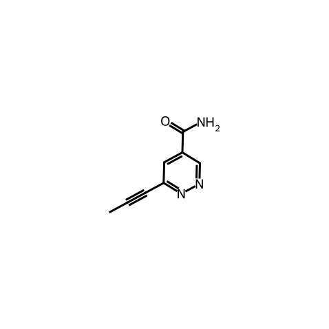 CC#Cc1cc(C(N)=O)cnn1